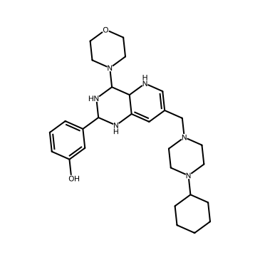 Oc1cccc(C2NC3=CC(CN4CCN(C5CCCCC5)CC4)=CNC3C(N3CCOCC3)N2)c1